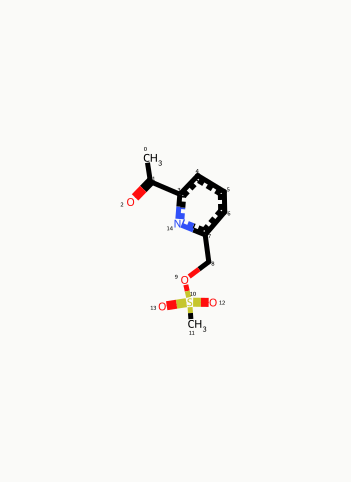 CC(=O)c1cccc(COS(C)(=O)=O)n1